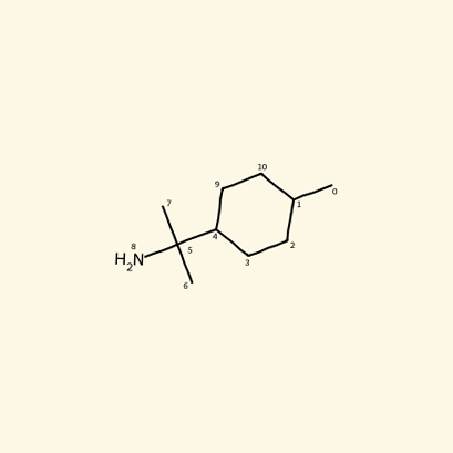 CC1CCC(C(C)(C)N)CC1